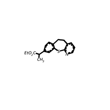 CCOC(=O)C(C)c1ccc2c(c1)Sc1ncccc1CC2